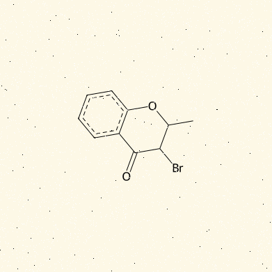 CC1Oc2ccccc2C(=O)C1Br